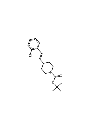 CC(C)(C)OC(=O)N1CCC(C=Cc2ccccc2Cl)CC1